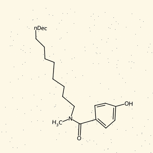 CCCCCCCCCCCCCCCCCCN(C)C(=O)c1ccc(O)cc1